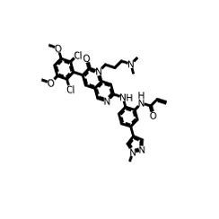 C=CC(=O)Nc1cc(-c2cnn(C)c2)ccc1Nc1cc2c(cn1)cc(-c1c(Cl)c(OC)cc(OC)c1Cl)c(=O)n2CCCN(C)C